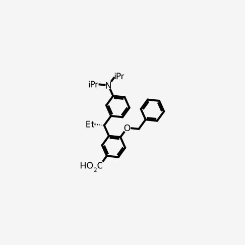 CC[C@H](c1cccc(N(C(C)C)C(C)C)c1)c1cc(C(=O)O)ccc1OCc1ccccc1